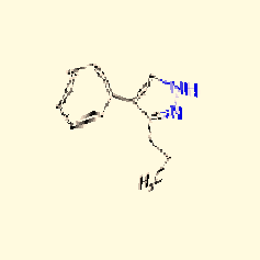 CCCc1n[nH]cc1-c1c[c]ccc1